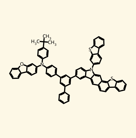 CC(C)(C)c1ccc(N(c2ccc(-c3cc(-c4ccccc4)cc(-c4ccc5c(c4)c4cc6ccc7c8ccccc8sc7c6cc4n5-c4ccc5c(c4)sc4ccccc45)c3)cc2)c2ccc3c(c2)oc2ccccc23)cc1